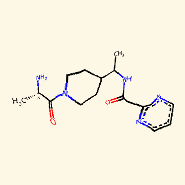 CC(NC(=O)c1ncccn1)C1CCN(C(=O)[C@H](C)N)CC1